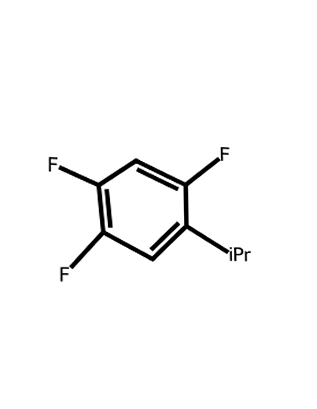 [CH2]C(C)c1cc(F)c(F)cc1F